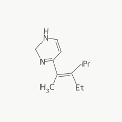 CC/C(=C(\C)C1=NCNC=C1)C(C)C